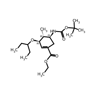 CCOC(=O)C1=C[C@@H](OC(CC)CC)[C@H](C)[C@@H](NC(=O)OC(C)(C)C)C1